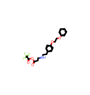 O=C(CCNCCc1ccc(OCCOc2ccccc2)cc1)OC(=O)C(F)(F)F